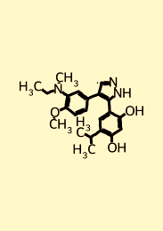 CCN(C)c1cc(-c2[c]n[nH]c2-c2cc(C(C)C)c(O)cc2O)ccc1OC